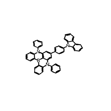 c1ccc(N2c3ccccc3B3c4ccccc4N(c4ccccc4)c4cc(-c5ccc(-n6c7ccccc7c7ccccc76)cc5)cc2c43)cc1